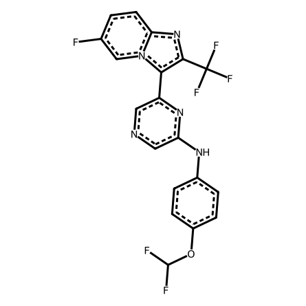 Fc1ccc2nc(C(F)(F)F)c(-c3cncc(Nc4ccc(OC(F)F)cc4)n3)n2c1